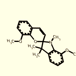 COc1cccc2c1OC1(C=C2)N(C)c2c(OC)cccc2C1(C)C